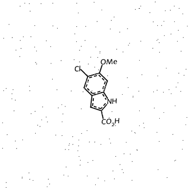 COc1cc2[nH]c(C(=O)O)cc2cc1Cl